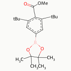 COC(=O)c1c(C(C)(C)C)cc(B2OC(C)(C)C(C)(C)O2)cc1C(C)(C)C